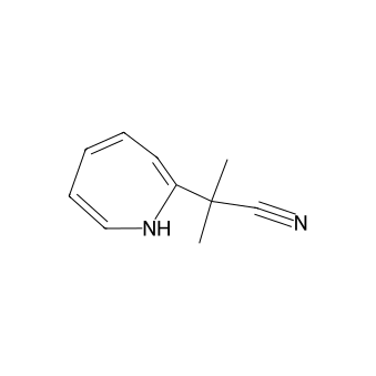 CC(C)(C#N)C1=CC=CC=CN1